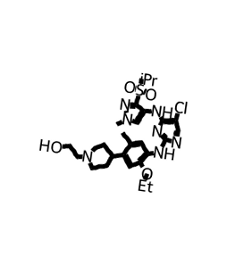 CCOc1cc(C2CCN(CCO)CC2)c(C)cc1Nc1ncc(Cl)c(Nc2cn(C)nc2S(=O)(=O)C(C)C)n1